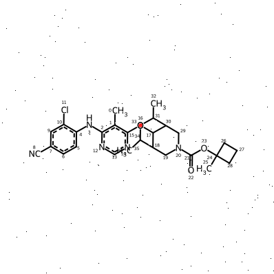 Cc1c(Nc2ccc(C#N)cc2Cl)ncnc1OC1C2CN(C(=O)OC3(C)CCC3)CC1C(C)OC2C